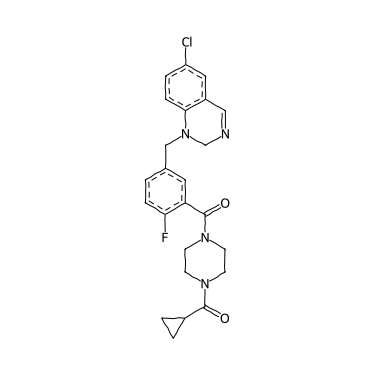 O=C(c1cc(CN2CN=Cc3cc(Cl)ccc32)ccc1F)N1CCN(C(=O)C2CC2)CC1